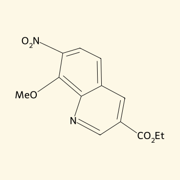 CCOC(=O)c1cnc2c(OC)c([N+](=O)[O-])ccc2c1